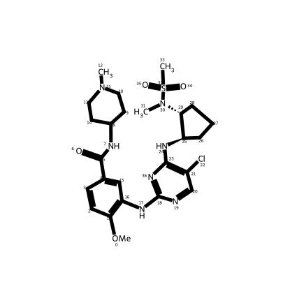 COc1ccc(C(=O)NC2CCN(C)CC2)cc1Nc1ncc(Cl)c(N[C@@H]2CCC[C@H]2N(C)S(C)(=O)=O)n1